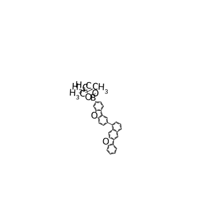 CC1(C)OB(c2ccc3c(c2)oc2ccc(-c4cccc5cc6c(cc45)oc4ccccc46)cc23)OC1(C)C